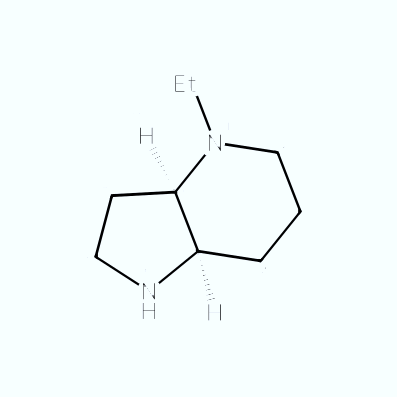 CCN1CCC[C@H]2NCC[C@H]21